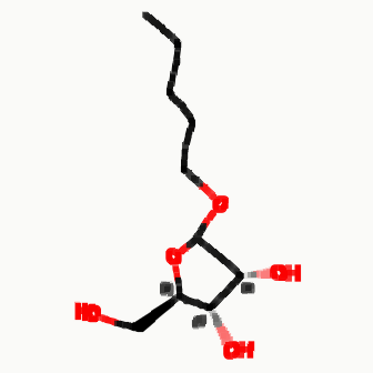 CCCCCOC1O[C@H](CO)[C@@H](O)[C@H]1O